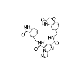 NC(=O)c1cccc(CNC(=O)c2cc(C(=O)NCc3ccc4c(c3)NC(=O)CO4)nc3ccnn23)c1